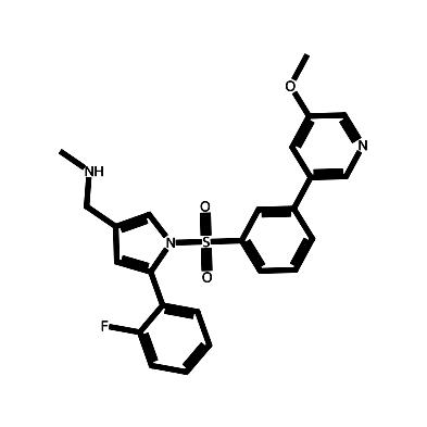 CNCc1cc(-c2ccccc2F)n(S(=O)(=O)c2cccc(-c3cncc(OC)c3)c2)c1